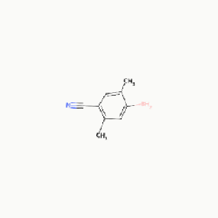 Bc1cc(C)c(C#N)cc1C